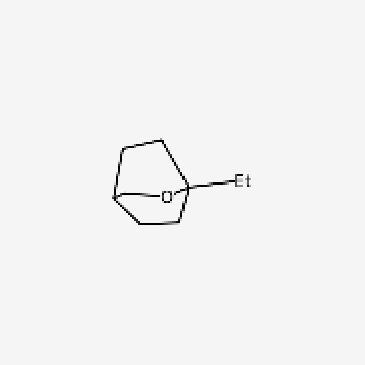 CCC12CCC(CC1)CO2